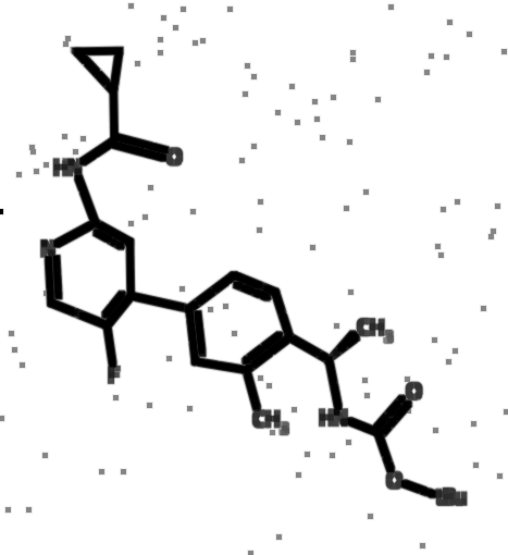 Cc1cc(-c2cc(NC(=O)C3CC3)ncc2F)ccc1[C@@H](C)NC(=O)OC(C)(C)C